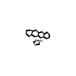 c1ccc2cc3cc4ccccc4cc3cc2c1.c1nc[nH]n1